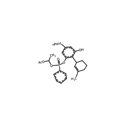 CCCCCc1cc(O)c(C2C=C(C)CCC2)c(OP(=O)(OC(C)OC(C)=O)c2ccccc2)c1